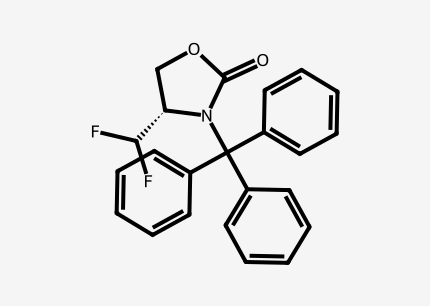 O=C1OC[C@@H](C(F)F)N1C(c1ccccc1)(c1ccccc1)c1ccccc1